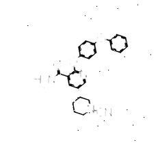 N#CN1CCC[C@H](c2cnc(Oc3ccc(Oc4ccccc4)cc3)c(C(N)=O)c2)C1